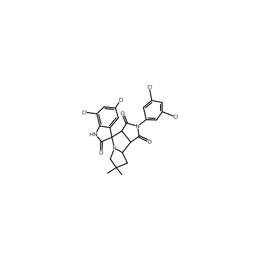 CC1(C)CC2C3C(=O)N(c4cc(Cl)cc(Cl)c4)C(=O)C3C3(C(=O)Nc4c(Cl)cc(Cl)cc43)N2C1